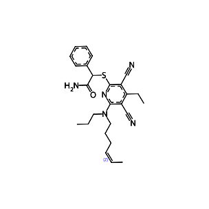 C/C=C\CCCN(CCC)c1nc(SC(C(N)=O)c2ccccc2)c(C#N)c(CC)c1C#N